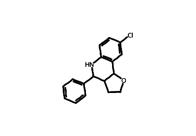 Clc1ccc2c(c1)C1OCCC1C(c1ccccc1)N2